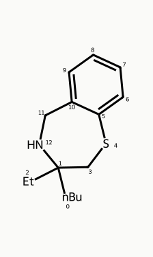 CCCCC1(CC)CSc2ccccc2CN1